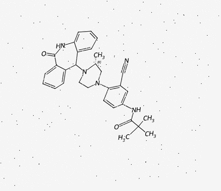 C[C@@H]1CN(c2ccc(NC(=O)C(C)(C)C)cc2C#N)CCN1C1c2ccccc2NC(=O)c2ccccc21